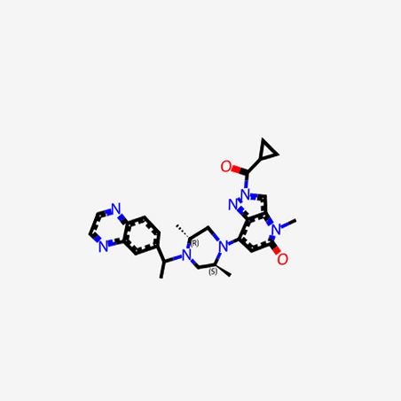 CC(c1ccc2nccnc2c1)N1C[C@H](C)N(c2cc(=O)n(C)c3cn(C(=O)C4CC4)nc23)C[C@H]1C